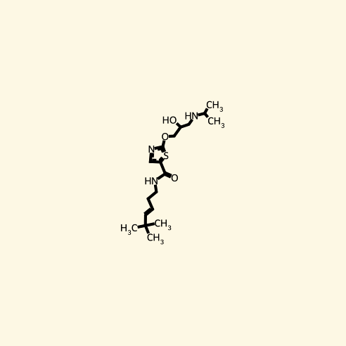 CC(C)NCC(O)COc1ncc(C(=O)NCC/C=C/C(C)(C)C)s1